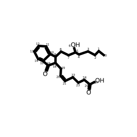 CCCCCC(O)CCC1c2ccccc2C(=O)C1C/C=C\CCCC(=O)O